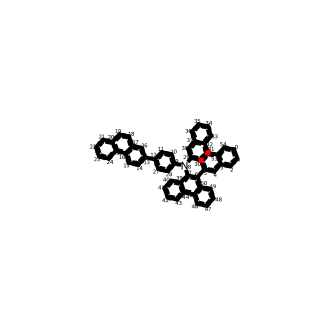 c1ccc2cc(-c3c(N(c4ccc(-c5ccc6c(ccc7ccccc76)c5)cc4)c4ccc5ccccc5c4)c4ccccc4c4ccccc34)ccc2c1